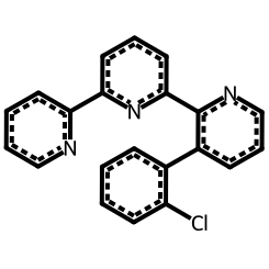 Clc1ccccc1-c1cccnc1-c1cccc(-c2ccccn2)n1